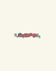 C=C(C)C(=O)OCCCCCOc1ccc(C(=O)Oc2ccc(OC(=O)c3ccc(OCCCCCOC(=O)C(=C)C)cc3)c(F)c2)cc1